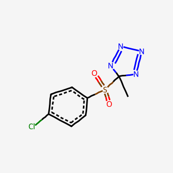 CC1(S(=O)(=O)c2ccc(Cl)cc2)N=NN=N1